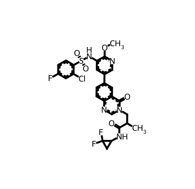 COc1ncc(-c2ccc3ncn(CC(C)C(=O)NC4CC4(F)F)c(=O)c3c2)cc1NS(=O)(=O)c1ccc(F)cc1Cl